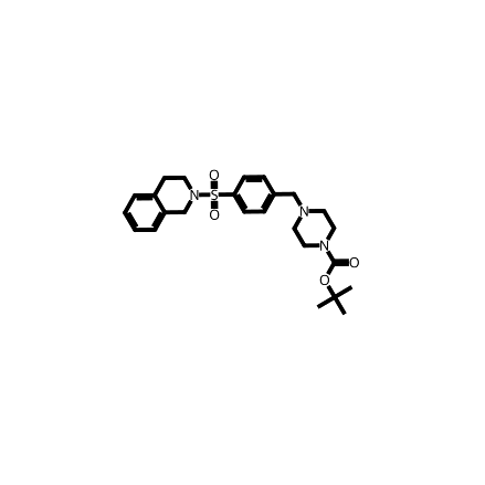 CC(C)(C)OC(=O)N1CCN(Cc2ccc(S(=O)(=O)N3CCc4ccccc4C3)cc2)CC1